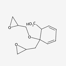 O=C(O)C1C=CC=CC1(CC1CO1)OCC1CO1